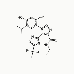 CCNC(=O)c1noc(-c2cc(C(C)C)c(O)cc2O)c1-c1noc(C(F)(F)F)n1